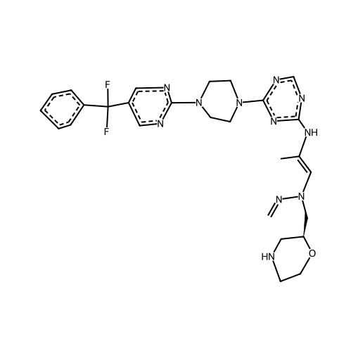 C=NN(/C=C(\C)Nc1ncnc(N2CCN(c3ncc(C(F)(F)c4ccccc4)cn3)CC2)n1)C[C@@H]1CNCCO1